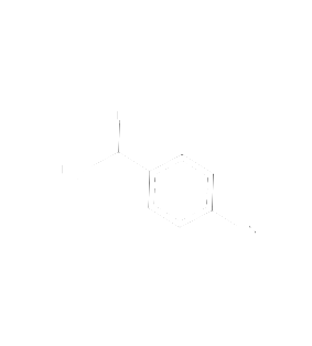 CCC(C(=O)O)c1ccc(C#N)cc1